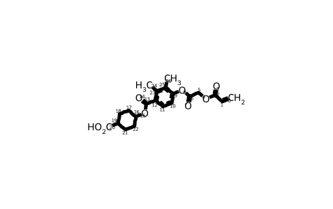 C=CC(=O)OCC(=O)Oc1ccc(C(=O)OC2CCC(C(=O)O)CC2)c(C)c1C